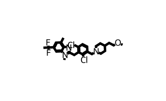 COCCC1CCN(Cc2ccc(Cl)c(Cc3nc4c(C)cc(C(C)(F)F)cc4n3C)c2Cl)CC1